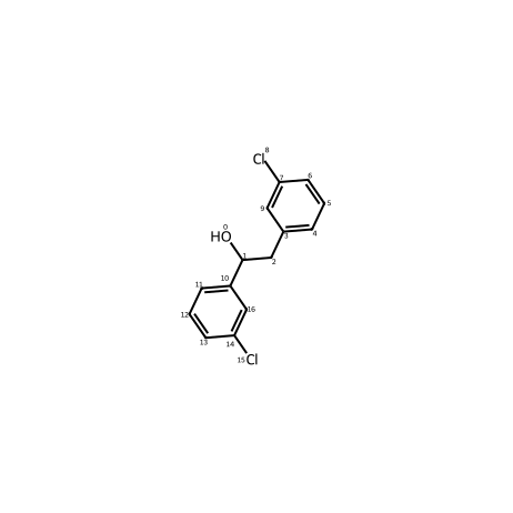 OC(Cc1cccc(Cl)c1)c1cccc(Cl)c1